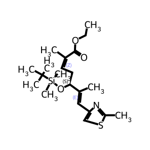 CCOC(=O)/C(C)=C\C[C@H](O[Si](C)(C)C(C)(C)C)/C(C)=C/c1csc(C)n1